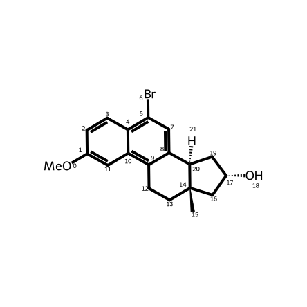 COc1ccc2c(Br)cc3c(c2c1)CC[C@@]1(C)C[C@@H](O)C[C@H]31